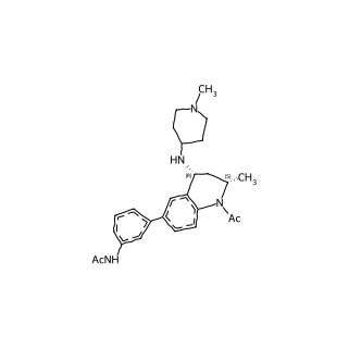 CC(=O)Nc1cccc(-c2ccc3c(c2)[C@H](NC2CCN(C)CC2)C[C@H](C)N3C(C)=O)c1